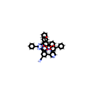 N#Cc1cc(-c2nc(-c3ccccc3)nc(-c3ccccc3)n2)c(-n2c3ccc(-c4ccccc4)cc3c3cc(-c4ccccc4)ccc32)c(-c2cnccc2-n2c3ccccc3c3ccccc32)c1